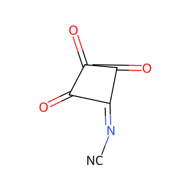 N#CN=C1C(=O)C(=O)C1=O